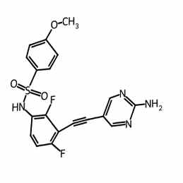 COc1ccc(S(=O)(=O)Nc2ccc(F)c(C#Cc3cnc(N)nc3)c2F)cc1